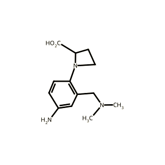 CN(C)Cc1cc(N)ccc1N1CCC1C(=O)O